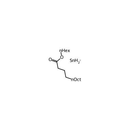 CCCCCCCCCCCC(=O)OCCCCCC.[SnH2]